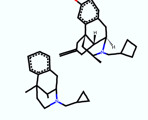 C=C1C[C@H](C)[C@H]2[C@H]3Cc4ccc(O)cc4[C@@]2(CCN3CC2CCC2)C1.CC1C2Cc3ccccc3C1(C)CCN2CC1CC1